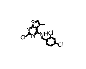 Cc1csc2nc(Cl)nc(NCc3ccc(Cl)cc3Cl)c12